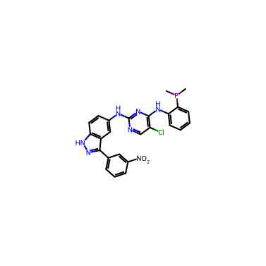 CP(C)c1ccccc1Nc1nc(Nc2ccc3[nH]nc(-c4cccc([N+](=O)[O-])c4)c3c2)ncc1Cl